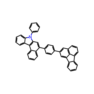 c1ccc(-n2c3ccccc3c3c4ccccc4c(-c4ccc(-c5cc6c7c(cccc7c5)-c5ccccc5-6)cc4)cc32)cc1